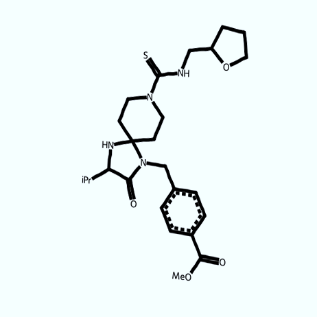 COC(=O)c1ccc(CN2C(=O)C(C(C)C)NC23CCN(C(=S)NCC2CCCO2)CC3)cc1